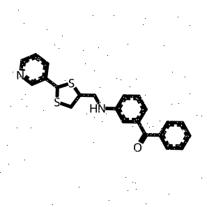 O=C(c1ccccc1)c1cccc(NCC2CSC(c3cccnc3)S2)c1